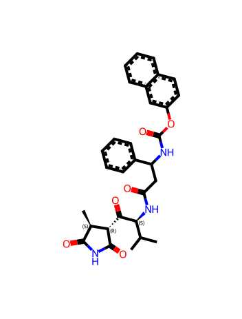 CC(C)[C@H](NC(=O)CC(NC(=O)Oc1ccc2ccccc2c1)c1ccccc1)C(=O)[C@@H]1C(=O)NC(=O)[C@H]1C